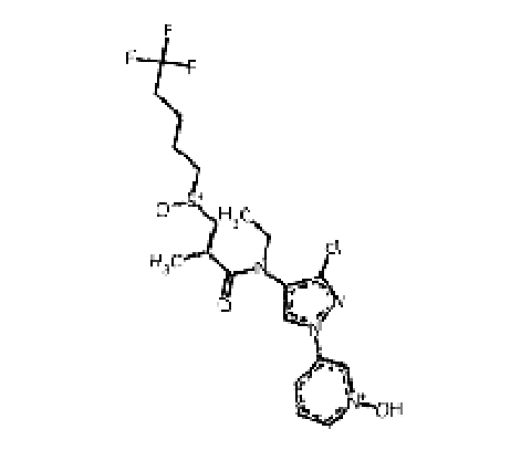 CCN(C(=O)C(C)C[S+]([O-])CCCCC(F)(F)F)c1cn(-c2ccc[n+](O)c2)nc1Cl